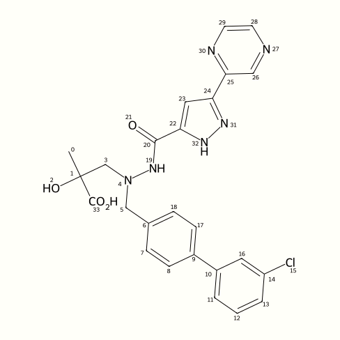 CC(O)(CN(Cc1ccc(-c2cccc(Cl)c2)cc1)NC(=O)c1cc(-c2cnccn2)n[nH]1)C(=O)O